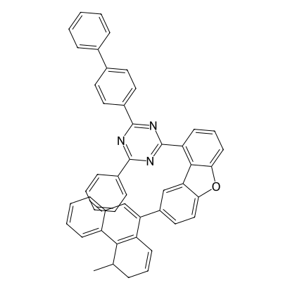 CC1CC=Cc2c(-c3ccc4oc5cccc(-c6nc(-c7ccccc7)nc(-c7ccc(-c8ccccc8)cc7)n6)c5c4c3)cc3ccccc3c21